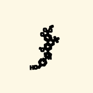 CCOC(=O)c1cn2c(cc1=O)-c1cc(OC)c(-c3cnc(N4CCC(CO)CC4)s3)cc1CC2C(C)(C)C